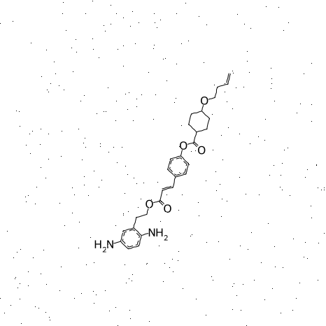 C=CCCOC1CCC(C(=O)Oc2ccc(/C=C/C(=O)OCCc3cc(N)ccc3N)cc2)CC1